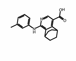 Cc1cccc(Nc2ncc(C(=O)O)c3c2C2CCC3CC2)c1